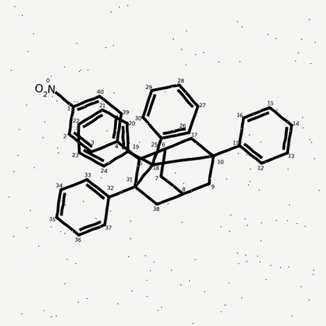 O=[N+]([O-])c1ccc(C2C3CC4CC(c5ccccc5)(C3)C(c3ccccc3)(c3ccccc3)C2(c2ccccc2)C4)cc1